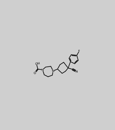 N#CC1(c2ccc(F)cc2)CCC(N2CCCN(C(=O)O)CC2)CC1